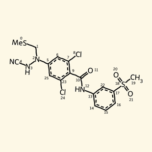 CSCN(NC#N)c1cc(Cl)c(C(=O)Nc2cccc(S(C)(=O)=O)c2)c(Cl)c1